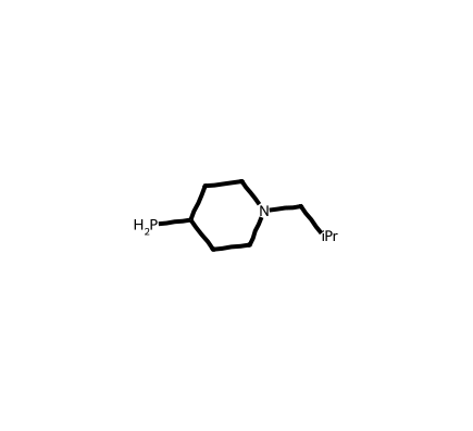 CC(C)CN1CCC(P)CC1